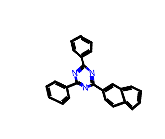 c1ccc(-c2nc(-c3ccccc3)nc(-c3ccc4ccccc4c3)n2)cc1